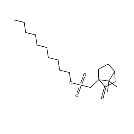 CCCCCCCCCCOS(=O)(=O)CC12CCC(CC1=O)C2(C)C